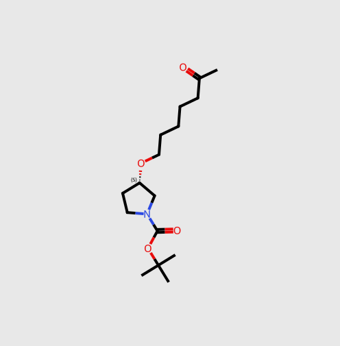 CC(=O)CCCCCO[C@H]1CCN(C(=O)OC(C)(C)C)C1